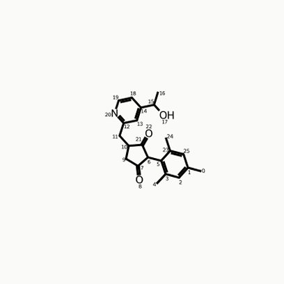 Cc1cc(C)c(C2C(=O)CC(Cc3cc(C(C)O)ccn3)C2=O)c(C)c1